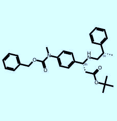 C[C@H](CN[C@H](CC(=O)OC(C)(C)C)c1ccc(N(C)C(=O)OCc2ccccc2)cc1)c1ccccc1